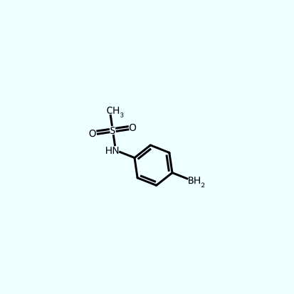 Bc1ccc(NS(C)(=O)=O)cc1